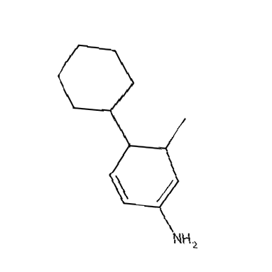 CC1C=C(N)C=CC1C1CCCCC1